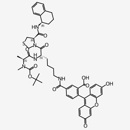 C[C@@H](C(=O)N[C@@H](CCCCNC(=O)c1ccc(-c2c3ccc(=O)cc-3oc3cc(O)ccc23)c(C(=O)O)c1)C(=O)N1CSC[C@H]1C(=O)N[C@@H]1CCCc2ccccc21)N(C)C(=O)OC(C)(C)C